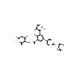 Cc1cc(C)c(CNC(=O)c2cc(-c3cnc(N4C[C@@H]5C[C@H]4CO5)nc3)cc(-c3c(C)cnn3C)c2C)c(=O)[nH]1